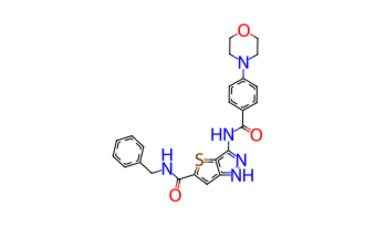 O=C(Nc1n[nH]c2cc(C(=O)NCc3ccccc3)sc12)c1ccc(N2CCOCC2)cc1